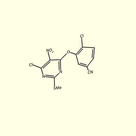 CSc1nc(Cl)c([N+](=O)[O-])c(Oc2cc(C#N)ccc2Cl)n1